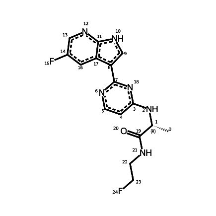 C[C@@H](Nc1ccnc(-c2c[nH]c3ncc(F)cc23)n1)C(=O)NCCF